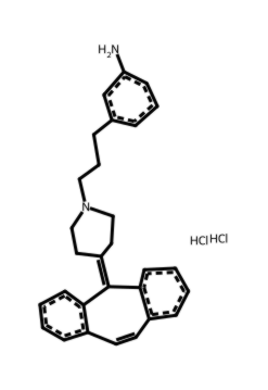 Cl.Cl.Nc1cccc(CCCN2CCC(=C3c4ccccc4C=Cc4ccccc43)CC2)c1